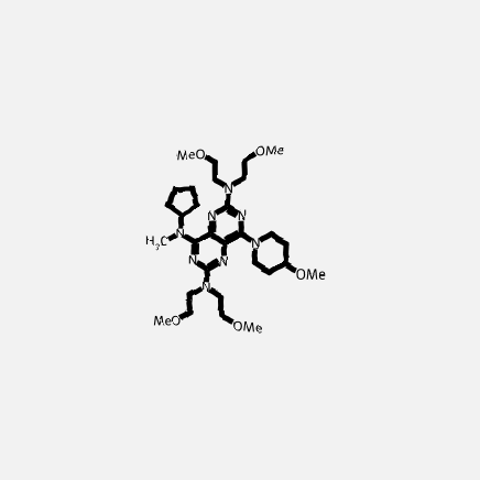 COCCN(CCOC)c1nc(N(C)C2CCCC2)c2nc(N(CCOC)CCOC)nc(N3CCC(OC)CC3)c2n1